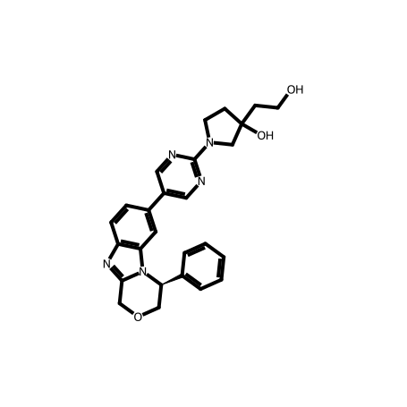 OCCC1(O)CCN(c2ncc(-c3ccc4nc5n(c4c3)[C@@H](c3ccccc3)COC5)cn2)C1